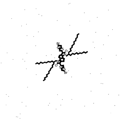 CCCCCCCCCCCCC(CCCCCCCCCC)CN1C(=O)C(c2cc3sc(Br)cc3s2)=c2ccc3c4c(ccc3c21)=C(c1cc2sc(Br)cc2s1)C(=O)N4CC(CCCCCCCCCC)CCCCCCCCCCCC